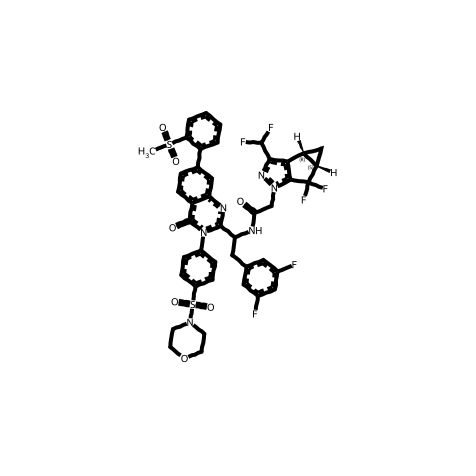 CS(=O)(=O)c1ccccc1-c1ccc2c(=O)n(-c3ccc(S(=O)(=O)N4CCOCC4)cc3)c(C(Cc3cc(F)cc(F)c3)NC(=O)Cn3nc(C(F)F)c4c3C(F)(F)[C@H]3C[C@@H]43)nc2c1